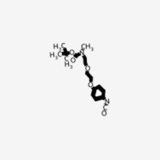 CN(CCOCCOc1ccc(N=C=O)cc1)C(=O)OC(C)(C)C